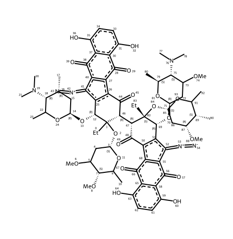 CCC1(O[C@H]2CC(OC)[C@@H](OC)C(C)O2)[C@H](O[C@@H]2C[C@@H](C)[C@@H](N(C)C)C(C)O2)c2c(c3c(=O)c4c(O)ccc(O)c4c(=O)c=3c2=[N+]=[N-])C(=O)[C@@H]1[C@H]1C(=O)c2c(c(=[N+]=[N-])c3c(=O)c4c(O)ccc(O)c4c(=O)c2=3)[C@@H](O[C@@H]2CC(OC)[C@@H](N(C)C)[C@H](C)O2)[C@@]1(CC)O[C@H]1C[C@@H](OC)[C@@H](C)C(C)O1